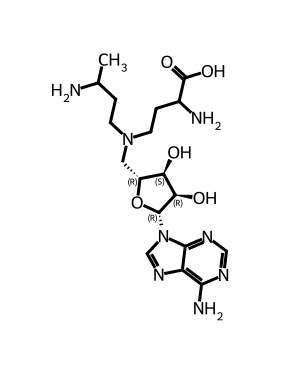 CC(N)CCN(CCC(N)C(=O)O)C[C@H]1O[C@@H](n2cnc3c(N)ncnc32)[C@H](O)[C@@H]1O